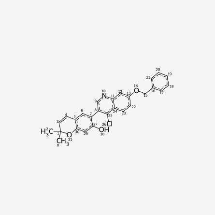 CC1(C)C=Cc2cc(-c3cnc4cc(OCc5ccccc5)ccc4c3Cl)c(O)cc2O1